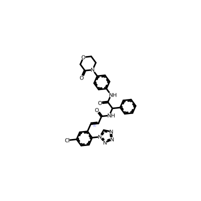 O=C(/C=C/c1cc(Cl)ccc1-n1cnnn1)NC(C(=O)Nc1ccc(N2CCOCC2=O)cc1)c1ccccc1